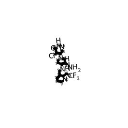 NNC1=C(NCc2cccnc2CC(F)(F)F)CCN(c2cn[nH]c(=O)c2Cl)C1